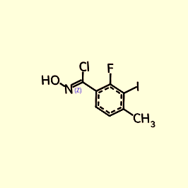 Cc1ccc(/C(Cl)=N/O)c(F)c1I